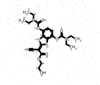 CCN(CC)C(=O)Oc1ccc(OC(=O)N(CC)CC)c2c1SC(=C(C#N)C(=O)OCCO)S2